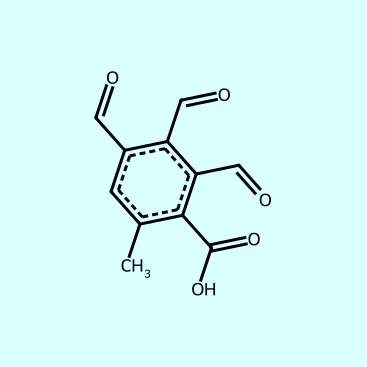 Cc1cc(C=O)c(C=O)c(C=O)c1C(=O)O